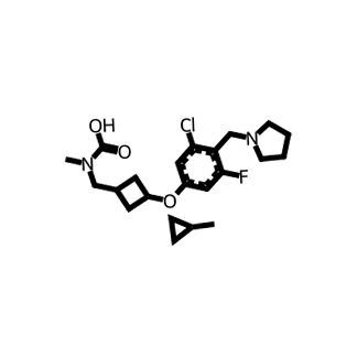 CC1CC1.CN(CC1CC(Oc2cc(F)c(CN3CCCC3)c(Cl)c2)C1)C(=O)O